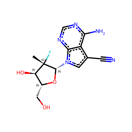 C[C@]1(F)[C@H](O)[C@@H](CO)O[C@H]1n1cc(C#N)c2c(N)ncnc21